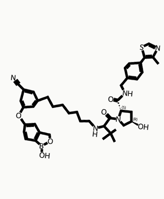 Cc1ncsc1-c1ccc(CNC(=O)[C@@H]2C[C@@H](O)CN2C(=O)C(NCCCCCCCc2cc(C#N)cc(Oc3ccc4c(c3)COB4O)c2)C(C)(C)C)cc1